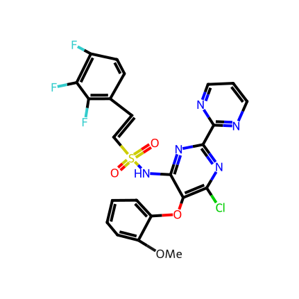 COc1ccccc1Oc1c(Cl)nc(-c2ncccn2)nc1NS(=O)(=O)C=Cc1ccc(F)c(F)c1F